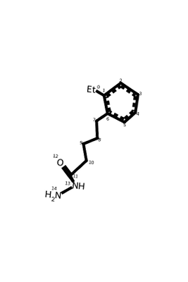 CCc1ccccc1CCCCC(=O)NN